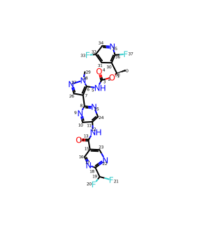 C[C@@H](OC(=O)Nc1c(-c2ncc(NC(=O)c3cnc(C(F)F)nc3)cn2)cnn1C)c1cc(F)cnc1F